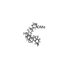 COc1cc(N2CCC(Nc3ncc4c(n3)N(C)C(c3cc(F)ccc3C(F)(F)F)CO4)CC2)ccn1